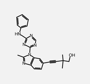 Cc1nc2ccc(C#CC(C)(C)CO)cc2n1-c1ncnc(Nc2ccccc2)n1